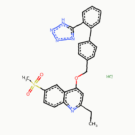 CCc1cc(OCc2ccc(-c3ccccc3-c3nnn[nH]3)cc2)c2cc(S(C)(=O)=O)ccc2n1.Cl